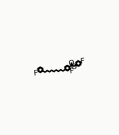 O=C(Oc1ccc(F)cc1)c1ccc(CCCCCCCCCc2cccc(F)c2)cc1F